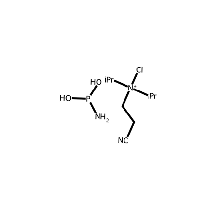 CC(C)[N+](Cl)(CCC#N)C(C)C.NP(O)O